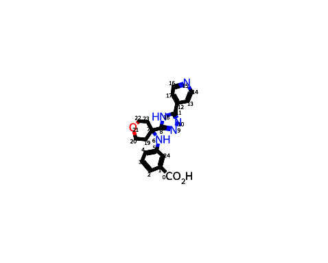 O=C(O)c1cccc(NC2(c3nnc(-c4ccncc4)[nH]3)CCOCC2)c1